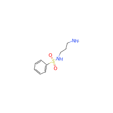 [NH]CCCNS(=O)(=O)c1ccccc1